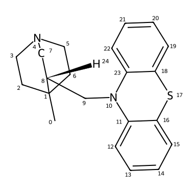 CC12CCN(CC1)C[C@@H]2CN1c2ccccc2Sc2ccccc21